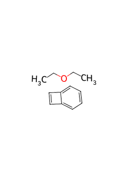 C1=Cc2ccccc21.CCOCC